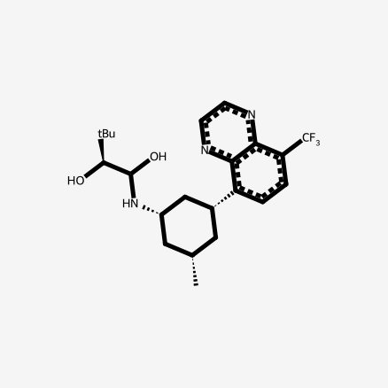 C[C@@H]1C[C@H](NC(O)[C@@H](O)C(C)(C)C)C[C@H](c2ccc(C(F)(F)F)c3nccnc23)C1